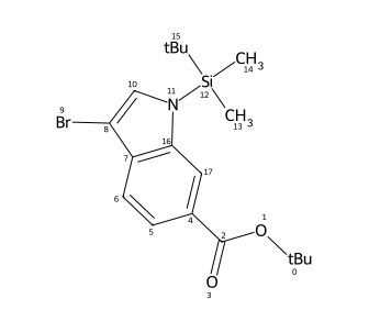 CC(C)(C)OC(=O)c1ccc2c(Br)cn([Si](C)(C)C(C)(C)C)c2c1